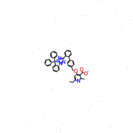 CCc1cc(OCc2ccc(-c3ccccc3-c3nnn(C(c4ccccc4)(c4ccccc4)c4ccccc4)n3)cc2)c(C(=O)OC)c(C)n1